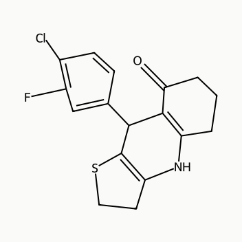 O=C1CCCC2=C1C(c1ccc(Cl)c(F)c1)C1=C(CCS1)N2